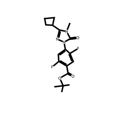 Cn1c(C2CCC2)nn(-c2cc(F)c(C(=O)OC(C)(C)C)cc2F)c1=O